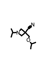 CC(C)OCC1(C#N)CN(C(C)C)C1